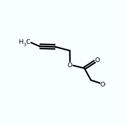 CC#CCOC(=O)C[O]